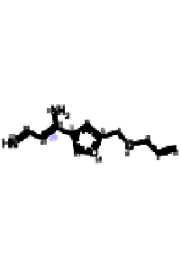 C=CCOCc1cc(/C(N)=C/C=N)co1